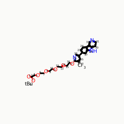 CC(C)(C)OC(=O)COCCOCCOCCOCCOc1ncc(-c2ccc3c(c2)[nH]c2ccncc23)cc1C(F)(F)F